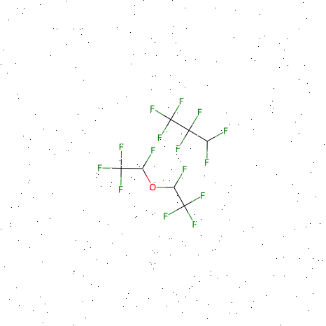 FC(F)C(F)(F)C(F)(F)F.FC(OC(F)C(F)(F)F)C(F)(F)F